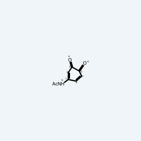 CC(=O)NC1=CC(=O)C(=O)C=C1